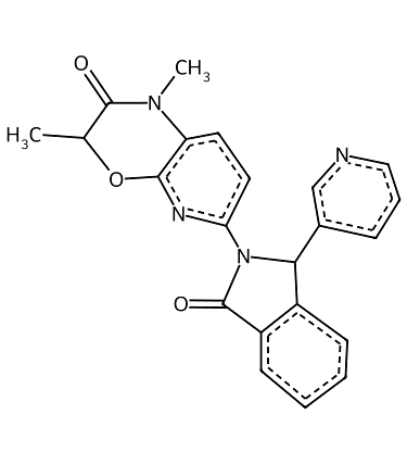 CC1Oc2nc(N3C(=O)c4ccccc4C3c3cccnc3)ccc2N(C)C1=O